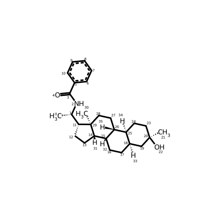 C[C@H](NC(=O)c1ccccc1)[C@H]1CC[C@H]2[C@@H]3CC[C@@H]4C[C@](C)(O)CC[C@@H]4[C@H]3CC[C@]12C